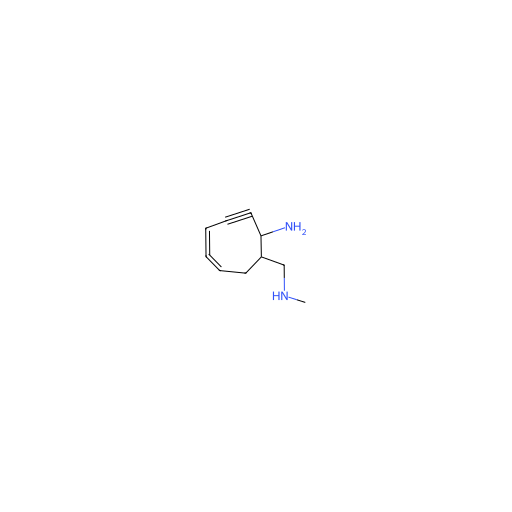 CNCC1CC=C=CC#CC1N